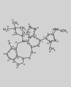 CNc1cc(-c2cc3c(n4cnnc24)N(C(=O)OC(C)(C)C)Cc2c(F)ccc4c2C(CO4)CO3)n(C)n1